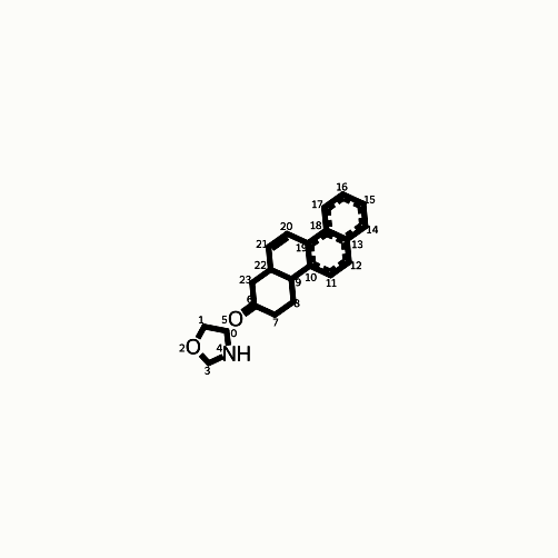 C1COCN1.O=C1CCC2c3ccc4ccccc4c3C=CC2C1